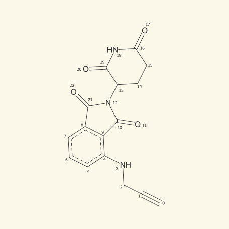 C#CCNc1cccc2c1C(=O)N(C1CCC(=O)NC1=O)C2=O